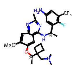 COc1cc2nc(C)nc(N[C@H](C)c3cc(N)cc(C(F)(F)F)c3F)c2cc1O[C@H](C)C1(CN(C)C)CCC1